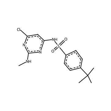 CNc1nc(Cl)cc(NS(=O)(=O)c2ccc(C(C)(C)C)cc2)n1